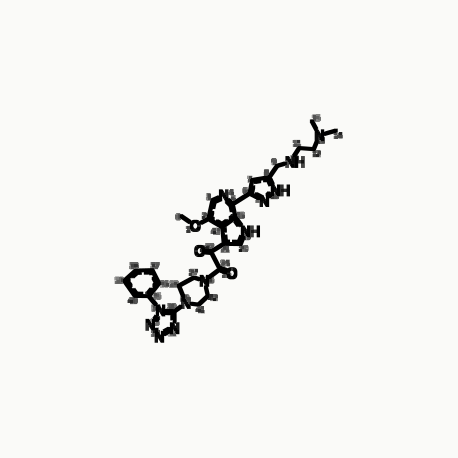 COc1cnc(-c2cc(CNCCN(C)C)[nH]n2)c2[nH]cc(C(=O)C(=O)N3CCN(c4nnnn4-c4ccccc4)CC3)c12